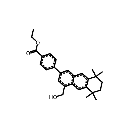 CCOC(=O)c1ccc(-c2cc(CO)c3cc4c(cc3c2)C(C)(C)CCC4(C)C)cc1